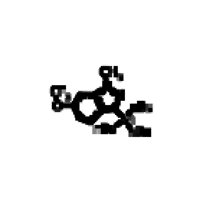 CCC[CH2][Sn]([CH2]CCC)([CH2]CCC)[c]1nn(C)c2cc(OC(F)(F)F)ccc12